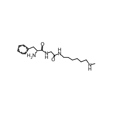 CNCCCCCCNC(=O)CNC(=O)[C@@H](N)Cc1ccccc1